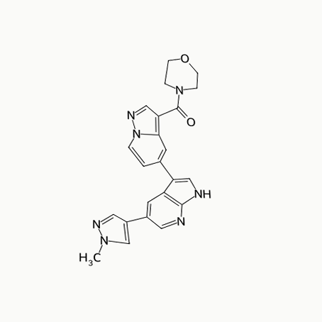 Cn1cc(-c2cnc3[nH]cc(-c4ccn5ncc(C(=O)N6CCOCC6)c5c4)c3c2)cn1